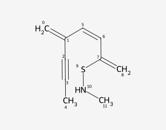 C=C(C#CC)/C=C\C(=C)SNC